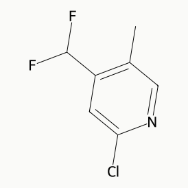 Cc1cnc(Cl)cc1C(F)F